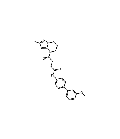 COc1cccc(-c2ccc(NC(=O)CCC(=O)N3CCCn4nc(C)cc43)cc2)c1